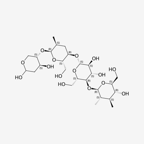 C[C@@H]1[C@@H](O[C@@H]2[C@@H](O)[C@H](O)[C@@H](O[C@@H]3C[C@H](C)[C@H](O[C@H]4COC(O)C[C@@H]4O)O[C@H]3CO)O[C@H]2CO)O[C@@H](CO)[C@H](O)[C@H]1C